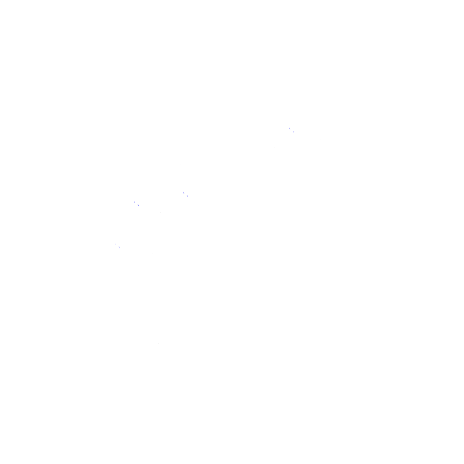 O=[SH](=O)NCCC1CCN(c2ncnc3cc(OC(F)(F)F)ccc23)CC1